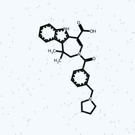 CC1(C)CN(C(=O)c2cccc(CN3CCCC3)c2)C=C(C(=O)O)c2[nH]c3ccccc3c21